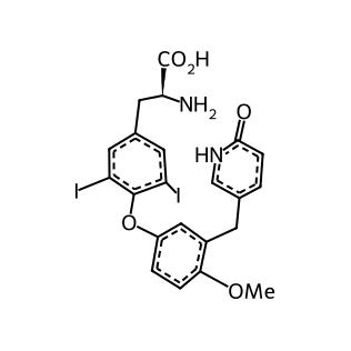 COc1ccc(Oc2c(I)cc(C[C@H](N)C(=O)O)cc2I)cc1Cc1ccc(=O)[nH]c1